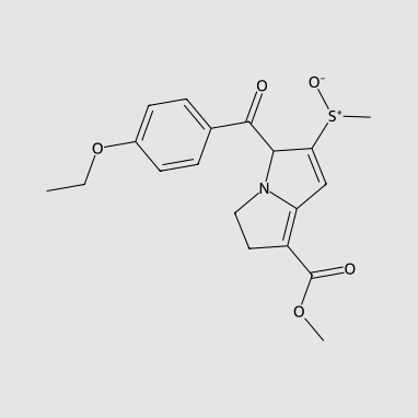 CCOc1ccc(C(=O)C2C([S+](C)[O-])=CC3=C(C(=O)OC)CCN32)cc1